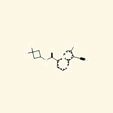 N#Cc1c(Br)nn2c(C(=O)NC3CC(F)(F)C3)ccnc12